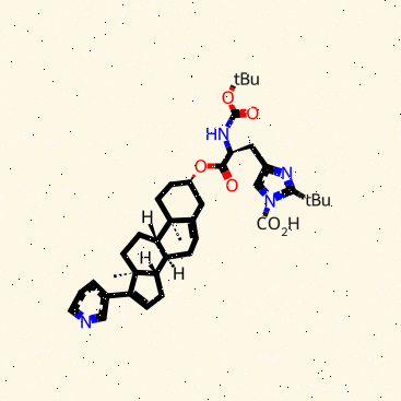 CC(C)(C)OC(=O)N[C@@H](Cc1cn(C(=O)O)c(C(C)(C)C)n1)C(=O)O[C@H]1CC[C@@]2(C)C(=CC[C@@H]3[C@@H]2CC[C@]2(C)C(c4cccnc4)=CC[C@@H]32)C1